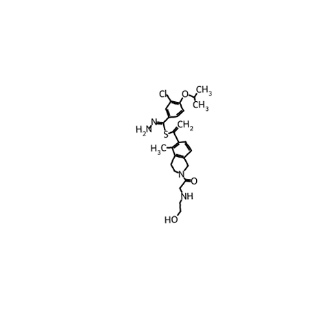 C=C(S/C(=N\N)c1ccc(OC(C)C)c(Cl)c1)c1ccc2c(c1C)CCN(C(=O)CNCCO)C2